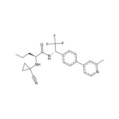 CCC[C@H](NC1(C#N)CC1)C(=O)N[C@@H](c1ccc(-c2ccnc(C)c2)cc1)C(F)(F)F